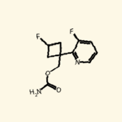 NC(=O)OCC1(c2ncccc2F)CC(F)C1